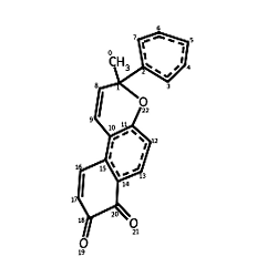 CC1(c2ccccc2)C=Cc2c(ccc3c2C=CC(=O)C3=O)O1